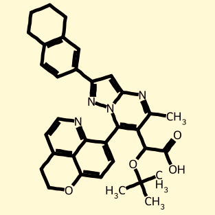 Cc1nc2cc(-c3ccc4c(c3)CCCC4)nn2c(-c2ccc3c4c(ccnc24)CCO3)c1C(OC(C)(C)C)C(=O)O